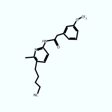 Cc1nc(NC(=O)Cc2cccc(OC(F)(F)F)c2)ccc1CCCCC#N